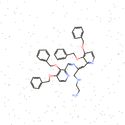 NCCNCC(=Cc1nccc(OCc2ccccc2)c1OCc1ccccc1)N=Cc1nccc(OCc2ccccc2)c1OCc1ccccc1